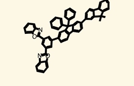 CC1(C)c2ccccc2-c2ccc(-c3ccc4c(c3)C(c3ccccc3)(c3ccccc3)c3cc(-c5cc(-c6nc7ccccc7o6)cc(-c6nc7ccccc7o6)c5)ccc3-4)cc21